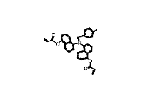 C=CC(=O)Oc1cccc2c(N(Cc3ccc(C)cc3)c3cccc4c(OC(=O)C=C)cccc34)cccc12